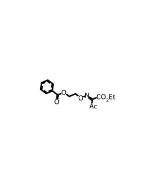 CCOC(=O)C(=NOCCOC(=O)c1ccccc1)C(C)=O